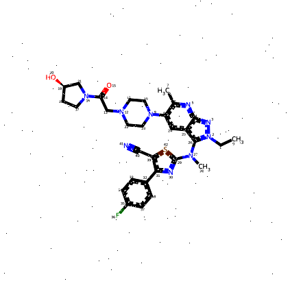 CCn1nc2nc(C)c(N3CCN(CC(=O)N4CC[C@@H](O)C4)CC3)cc2c1N(C)c1nc(-c2ccc(F)cc2)c(C#N)s1